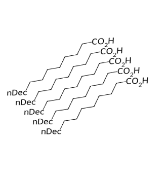 CCCCCCCCCCCCCCCCCC(=O)O.CCCCCCCCCCCCCCCCCC(=O)O.CCCCCCCCCCCCCCCCCC(=O)O.CCCCCCCCCCCCCCCCCC(=O)O.CCCCCCCCCCCCCCCCCC(=O)O